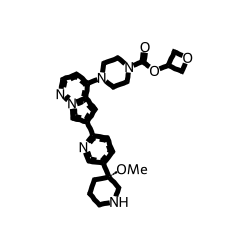 CO[C@@]1(c2ccc(-c3cc4c(N5CCN(C(=O)OC6COC6)CC5)ccnn4c3)nc2)CCCNC1